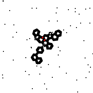 c1ccc(N(c2ccc(-c3cccc4ccccc34)cc2)c2ccc3c(c2)sc2ccccc23)c(-c2cccc3oc4c5ccccc5ccc4c23)c1